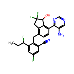 CCC(F)c1cc(F)cc(C#N)c1Cc1ccc(-c2ncncc2N)c2c1CC(F)(F)C2O